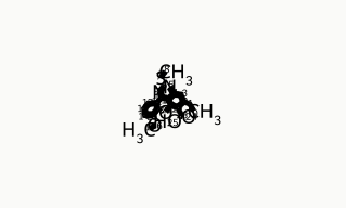 CCc1cc2nc(SC)nc(-c3cccc(OC)c3)c2c(O)c1C(=O)O